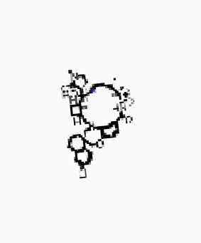 C[C@@H]1[C@@H](C)C/C=C/[C@@](O)([C@H]2CCN(C)C2=O)[C@@H]2CC[C@H]2CN2C[C@@]3(CCCc4cc(Cl)ccc43)COc3ccc(cc32)C(=O)NS1(=O)=O